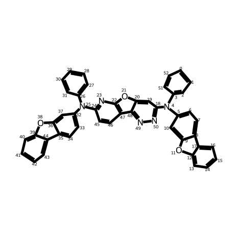 c1ccc(N(c2ccc3c(c2)oc2ccccc23)c2cc3oc4nc(N(c5ccccc5)c5ccc6c(c5)oc5ccccc56)ccc4c3nn2)cc1